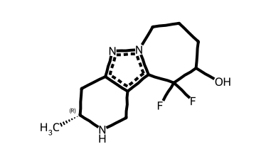 C[C@@H]1Cc2nn3c(c2CN1)C(F)(F)C(O)CCC3